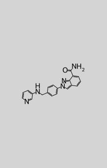 NC(=O)c1cccc2cn(-c3ccc(CNc4cccnc4)cc3)nc12